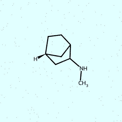 CNC1C[C@@H]2CCC1C2